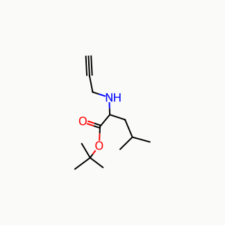 C#CCNC(CC(C)C)C(=O)OC(C)(C)C